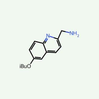 CC(C)COc1ccc2nc(CN)ccc2c1